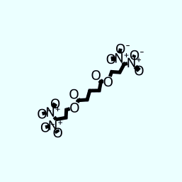 O=C(CCCC(=O)OCCC([N+](=O)[O-])[N+](=O)[O-])OCCC([N+](=O)[O-])[N+](=O)[O-]